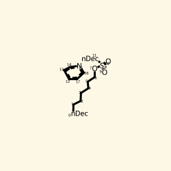 CCCCCCCCCCCCCCCCOS(=O)(=O)CCCCCCCCCC.c1ccncc1